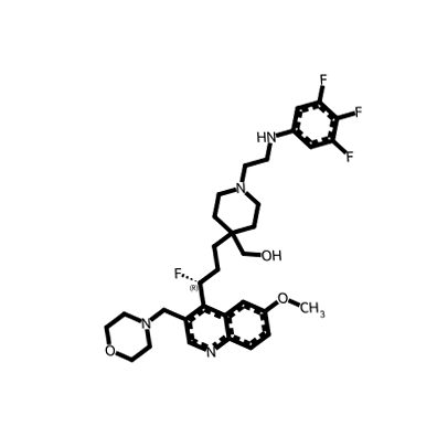 COc1ccc2ncc(CN3CCOCC3)c([C@H](F)CCC3(CO)CCN(CCNc4cc(F)c(F)c(F)c4)CC3)c2c1